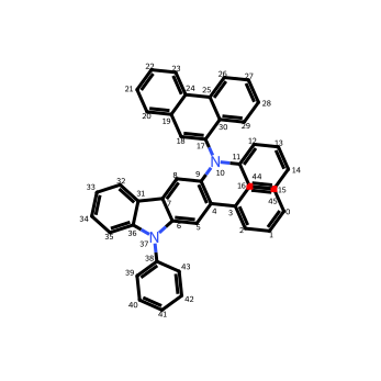 c1ccc(-c2cc3c(cc2N(c2ccccc2)c2cc4ccccc4c4ccccc24)c2ccccc2n3-c2ccccc2)cc1